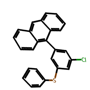 Clc1cc(Sc2ccccc2)cc(-c2c3ccccc3cc3ccccc23)c1